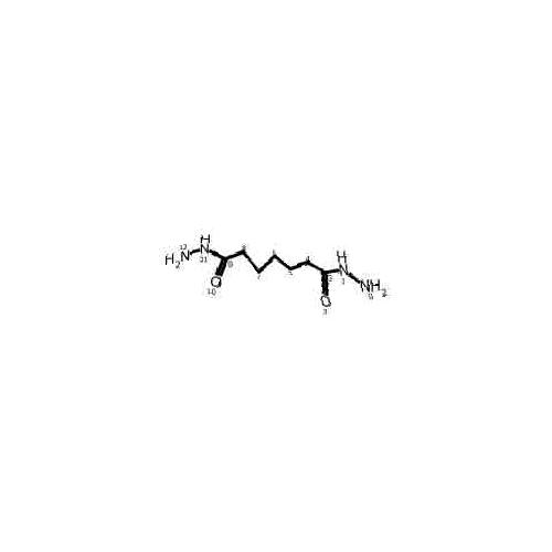 NNC(=O)CCCCCC(=O)NN